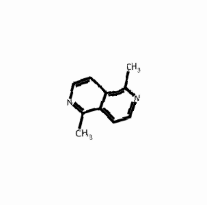 Cc1nccc2c(C)nccc12